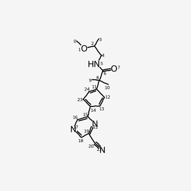 COC(C)CNC(=O)C(C)(C)c1ccc(-c2cncc(C#N)n2)cc1